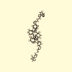 c1coc(OCCCOc2ccc3c(c2)-c2cccc4c2B3c2cccc3c2N4c2cccc4c2B3c2ccc(OCCCOc3ccco3)cc2-4)c1